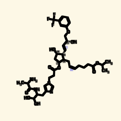 CC(C)OC(=O)CCC/C=C\C[C@@H]1[C@@H](/C=C/[C@@H](O)COc2cccc(C(F)(F)F)c2)[C@H](O)C[C@@H]1OC(=O)CCn1cnc(CC(NC(=O)C(C)N)C(O)O)c1